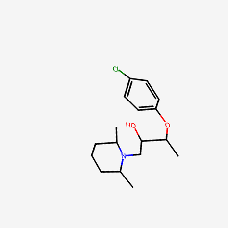 CC(Oc1ccc(Cl)cc1)C(O)CN1C(C)CCCC1C